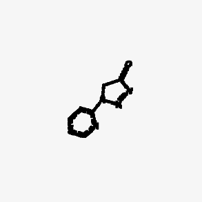 O=C1CN(c2ccccn2)N=N1